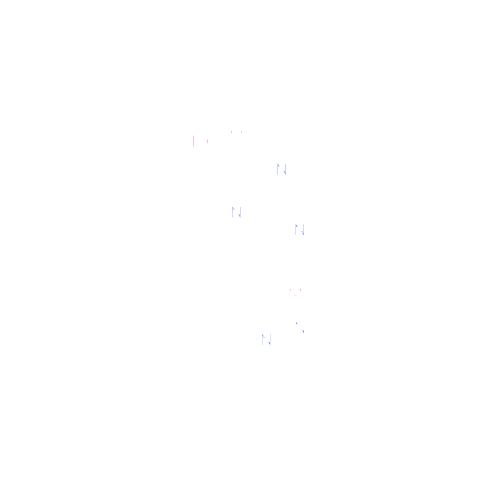 Cc1ncc(-c2ccc(OCc3ncccn3)cn2)c(N2CCC(C)(C)CC2)c1CC(=O)O